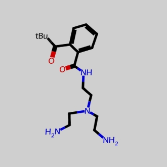 CC(C)(C)C(=O)c1ccccc1C(=O)NCCN(CCN)CCN